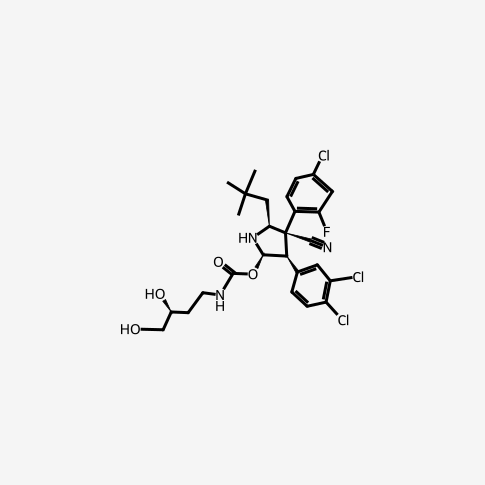 CC(C)(C)C[C@@H]1N[C@H](OC(=O)NCC[C@H](O)CO)[C@H](c2ccc(Cl)c(Cl)c2)[C@@]1(C#N)c1ccc(Cl)cc1F